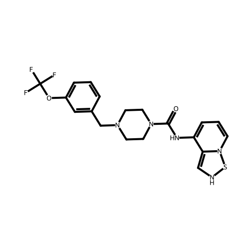 O=C(NC1=CC=CN2SNC=C12)N1CCN(Cc2cccc(OC(F)(F)F)c2)CC1